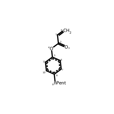 C=CC(=O)Oc1ccc(CCCCC)cc1